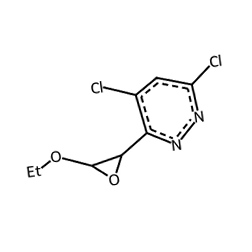 CCOC1OC1c1nnc(Cl)cc1Cl